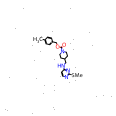 CSc1nccc(NCC2CCN(C(=O)OCc3ccc(C)cc3)CC2)n1